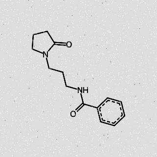 O=C(NCCCN1CCCC1=O)c1ccccc1